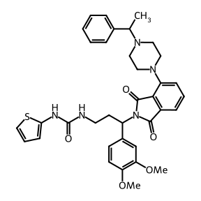 COc1ccc(C(CCNC(=O)Nc2cccs2)N2C(=O)c3cccc(N4CCN(C(C)c5ccccc5)CC4)c3C2=O)cc1OC